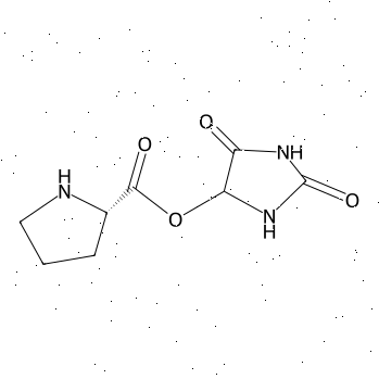 O=C1NC(=O)C(OC(=O)[C@@H]2CCCN2)N1